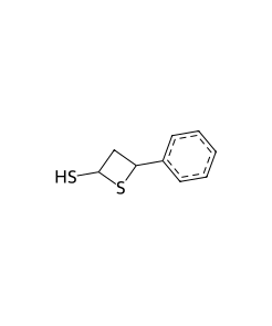 SC1CC(c2ccccc2)S1